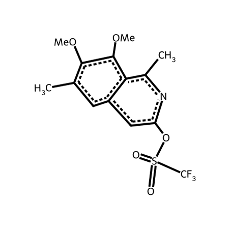 COc1c(C)cc2cc(OS(=O)(=O)C(F)(F)F)nc(C)c2c1OC